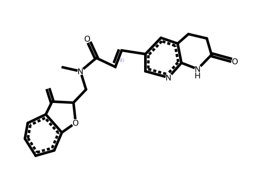 C=C1c2ccccc2OC1CN(C)C(=O)/C=C/c1cnc2c(c1)CCC(=O)N2